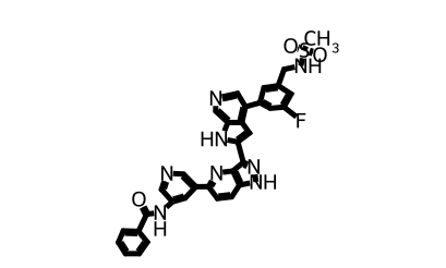 CS(=O)(=O)NCc1cc(F)cc(-c2cncc3[nH]c(-c4n[nH]c5ccc(-c6cncc(NC(=O)c7ccccc7)c6)nc45)cc23)c1